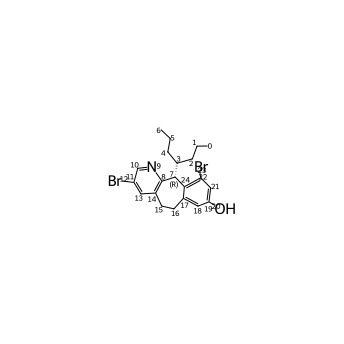 CCCC(CCC)[C@H]1c2ncc(Br)cc2CCc2cc(O)cc(Br)c21